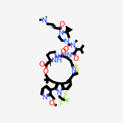 COCc1ncccc1-c1c2c3cc(ccc3n1CC(F)(F)F)-c1csc(n1)C[C@H](NC(=O)C(C(C)C)N(C)C(=O)N1CCN(C(=O)/C=C/CN(C)C)C3(CC3)C1)C(=O)N1CCC[C@H](N1)C(=O)OCC(C)(C)C2